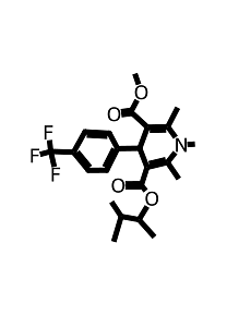 COC(=O)C1=C(C)N(C)C(C)=C(C(=O)OC(C)C(C)C)C1c1ccc(C(F)(F)F)cc1